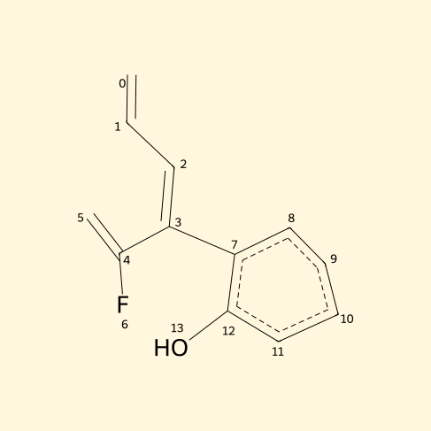 C=C/C=C(\C(=C)F)c1ccccc1O